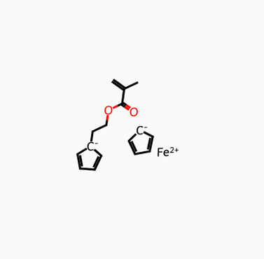 C=C(C)C(=O)OCC[c-]1cccc1.[Fe+2].c1cc[cH-]c1